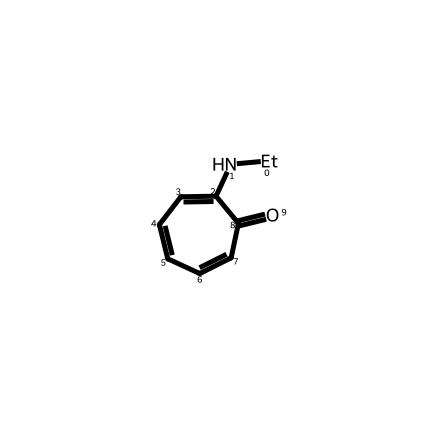 [CH2]CNc1cccccc1=O